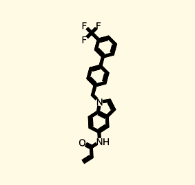 C=CC(=O)Nc1ccc2c(ccn2Cc2ccc(-c3cccc(C(F)(F)F)c3)cc2)c1